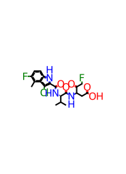 Cc1c(F)ccc2[nH]c(C(=O)N[C@H](C(=O)NC(CC(=O)O)C(=O)CF)C(C)C)c(Cl)c12